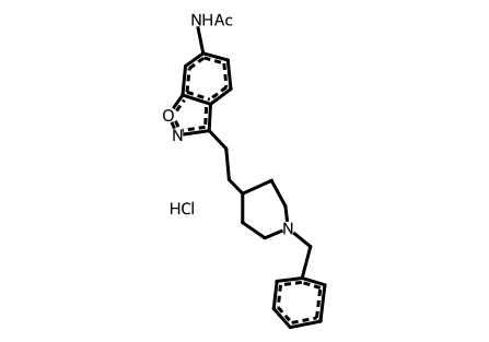 CC(=O)Nc1ccc2c(CCC3CCN(Cc4ccccc4)CC3)noc2c1.Cl